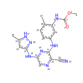 COC(=O)Nc1cc(Nc2nc(Nc3cc(C)[nH]n3)cnc2C#N)ccc1C